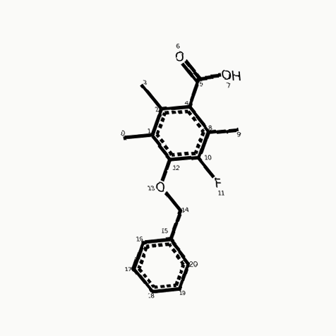 Cc1c(C)c(C(=O)O)c(C)c(F)c1OCc1ccccc1